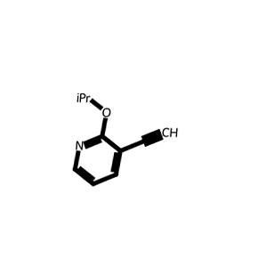 C#Cc1cccnc1OC(C)C